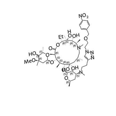 CC[C@H]1OC(=O)[C@H](C)[C@@H](O[C@H]2C[C@@](C)(OC)[C@@H](O)[C@H](C)O2)[C@H](C)[C@@H](O[C@@H]2O[C@H](C)C[C@H](N(C)CCc3cn(CCOCc4ccc([N+](=O)[O-])cc4)nn3)[C@H]2O)[C@](C)(O)C[C@@H](C)CN(C)[C@H](C)[C@@H](O)[C@]1(C)O